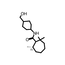 C[C@H]1CCCCC(C)(C)C1C(=O)NC1CCC(CO)CC1